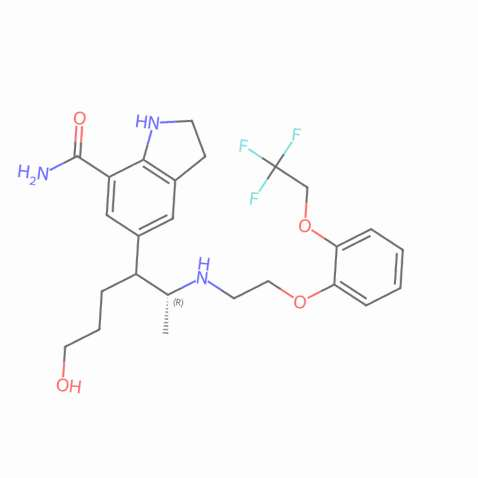 C[C@@H](NCCOc1ccccc1OCC(F)(F)F)C(CCCO)c1cc2c(c(C(N)=O)c1)NCC2